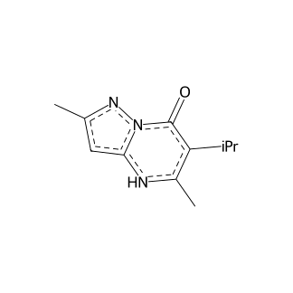 Cc1cc2[nH]c(C)c(C(C)C)c(=O)n2n1